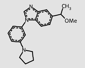 COC(C)c1ccc2c(c1)ncn2-c1cccc(N2CCCC2)c1